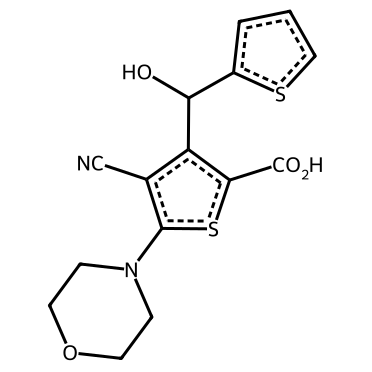 N#Cc1c(N2CCOCC2)sc(C(=O)O)c1C(O)c1cccs1